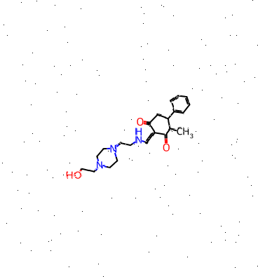 CC1C(=O)C(=CNCCN2CCN(CCO)CC2)C(=O)CC1c1ccccc1